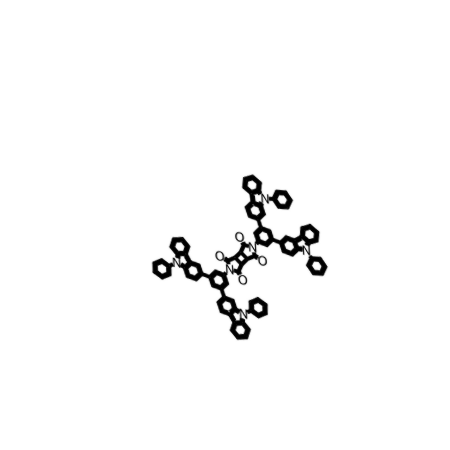 O=C1C2C(C(=O)N1c1cc(-c3ccc4c(c3)c3ccccc3n4-c3ccccc3)cc(-c3ccc4c5ccccc5n(-c5ccccc5)c4c3)c1)C1C(=O)N(c3cc(-c4ccc5c(c4)c4ccccc4n5-c4ccccc4)cc(-c4ccc5c6ccccc6n(-c6ccccc6)c5c4)c3)C(=O)C21